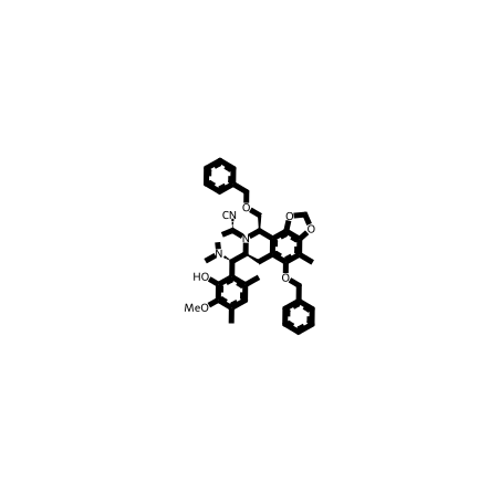 COc1c(C)cc(C)c([C@@H]([C@@H]2Cc3c(OCc4ccccc4)c(C)c4c(c3[C@H](COCc3ccccc3)N2[C@H](C)C#N)OCO4)N(C)C)c1O